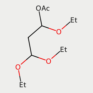 CCOC(CC(OCC)OC(C)=O)OCC